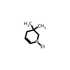 CCN1C=CCC(C)(C)C1